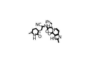 Cc1nc2ccn([C@@H](CC(C)C)C(=O)N[C@H](C#N)C[C@@H]3CC[C@H](C)NC3=O)c(=O)c2[nH]1